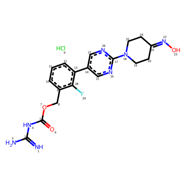 Cl.N=C(N)NC(=O)OCc1cccc(-c2cnc(N3CCC(=NO)CC3)nc2)c1F